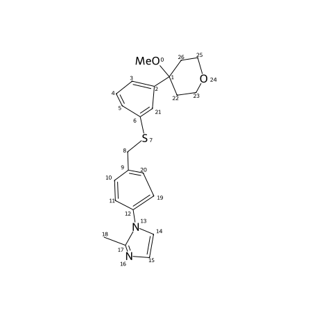 COC1(c2cccc(SCc3ccc(-n4ccnc4C)cc3)c2)CCOCC1